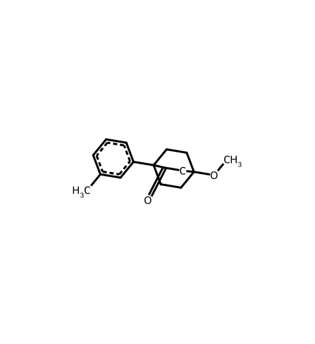 COC12CCC(c3cccc(C)c3)(CC1)C(=O)C2